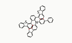 c1ccc(-c2ccc(N(c3ccc4c(c3)Cc3ccccc3-4)c3c(-c4cccc5c4sc4ccccc45)cccc3-c3cccc4c3sc3ccccc34)cc2)cc1